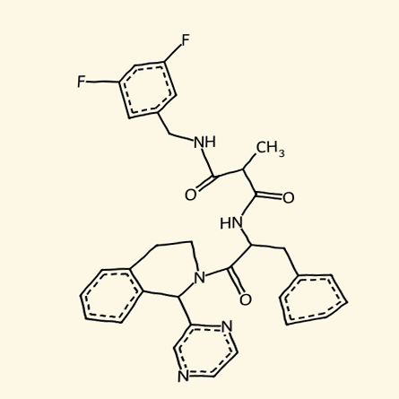 CC(C(=O)NCc1cc(F)cc(F)c1)C(=O)NC(Cc1ccccc1)C(=O)N1CCc2ccccc2C1c1cnccn1